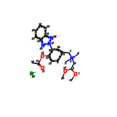 COC(C[N+](C)(C)Cc1ccc(OC(C)=O)c(-n2nc3ccccc3n2)c1)OC.[Br-]